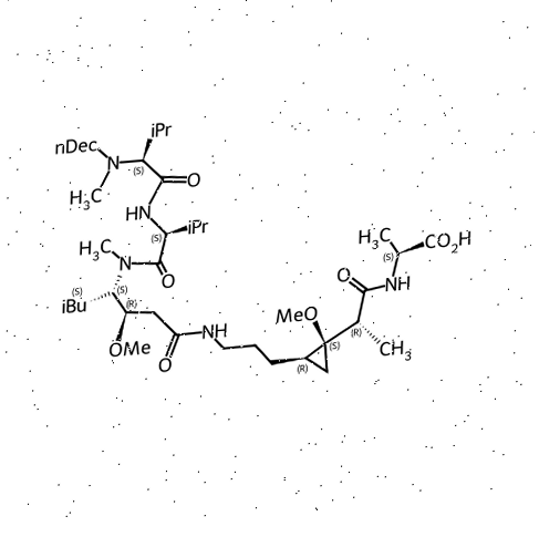 CCCCCCCCCCN(C)[C@H](C(=O)N[C@H](C(=O)N(C)[C@@H]([C@@H](C)CC)[C@@H](CC(=O)NCCC[C@@H]1C[C@@]1(OC)[C@@H](C)C(=O)N[C@@H](C)C(=O)O)OC)C(C)C)C(C)C